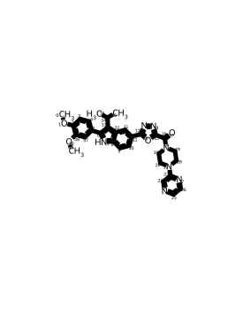 COc1ccc(-c2[nH]c3ccc(-c4nnc(C(=O)N5CCN(c6cnccn6)CC5)o4)cc3c2C(C)C)cc1OC